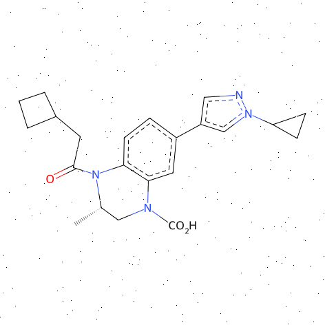 C[C@H]1CN(C(=O)O)c2cc(-c3cnn(C4CC4)c3)ccc2N1C(=O)CC1CCC1